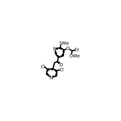 CCC(OC)Oc1cc(C(=O)Cc2c(Cl)cncc2Cl)cnc1SC